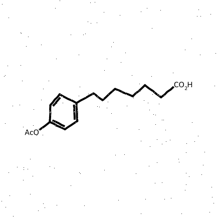 CC(=O)Oc1ccc(CCCCCCC(=O)O)cc1